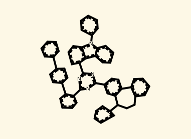 c1ccc(-c2ccc(-c3ccccc3-c3nc(-c4ccc5c(c4)C(c4ccccc4)CCc4ccccc4-5)nc(-c4cccc5c4c4ccccc4n5-c4ccccc4)n3)cc2)cc1